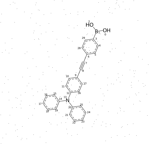 OB(O)c1ccc(C#Cc2ccc(N(c3ccccc3)c3ccccc3)cc2)cc1